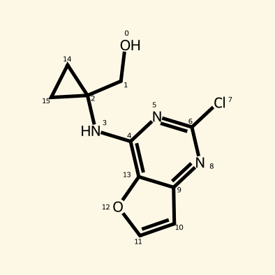 OCC1(Nc2nc(Cl)nc3ccoc23)CC1